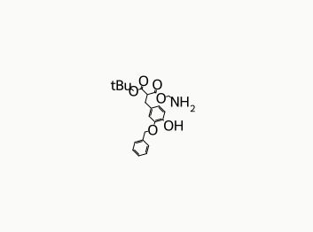 CC(C)(C)OC(=O)C(Cc1ccc(O)c(OCc2ccccc2)c1)C(=O)OCN